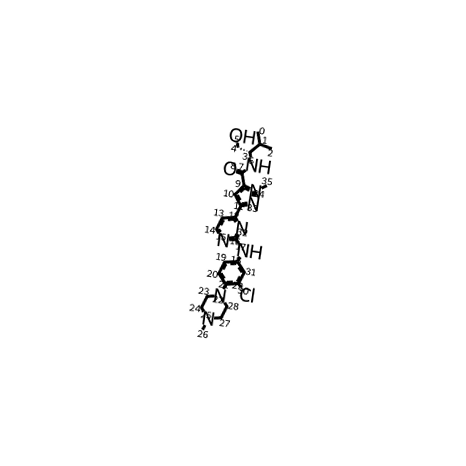 CC(C)[C@@H](CO)NC(=O)c1cc(-c2ccnc(Nc3ccc(N4CCN(C)CC4)c(Cl)c3)n2)nn1C